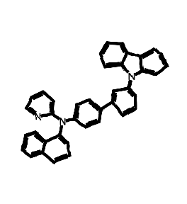 c1ccc(N(c2ccc(-c3cccc(-n4c5ccccc5c5ccccc54)c3)cc2)c2cccc3ccccc23)nc1